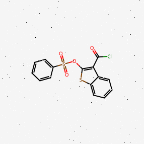 O=C(Cl)c1c(OS(=O)(=O)c2ccccc2)sc2ccccc12